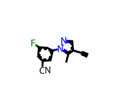 C#Cc1cnn(-c2cc(F)cc(C#N)c2)c1C